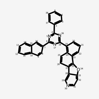 c1ccc(-c2nc(-c3ccc4ccccc4c3)nc(-c3cccc4c3ccc3c5cnccc5oc43)n2)cc1